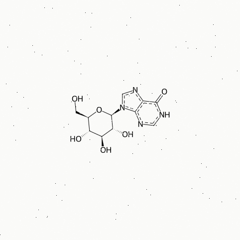 O=c1[nH][c]nc2c1ncn2[C@@H]1O[C@H](CO)[C@@H](O)[C@H](O)[C@H]1O